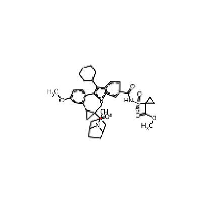 COC(=O)C1(S(=O)(=O)NC(=O)c2ccc3c(C4CCCCC4)c4n(c3c2)CC2(C(=O)N3C5CCC3CN(C)C5)CC2c2cc(OC)ccc2-4)CC1